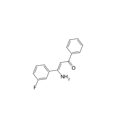 N/C(=C\C(=O)c1ccccc1)c1cccc(F)c1